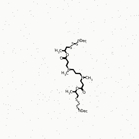 CCCCCCCCCCSSSCC(C)OC(=O)CCN(C)CCCN(C)CCC(=O)OC(C)CSSSCCCCCCCCCC